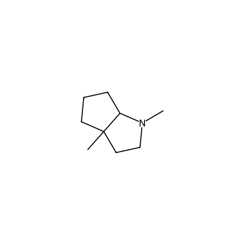 CN1CCC2(C)CCCC12